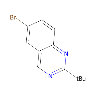 CC(C)(C)c1ncc2cc(Br)ccc2n1